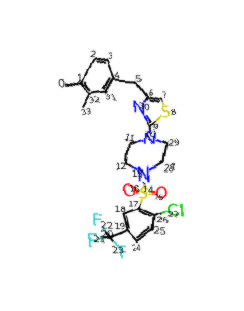 Cc1ccc(Cc2csc(N3CCN(S(=O)(=O)c4cc(C(F)(F)F)ccc4Cl)CC3)n2)cc1C